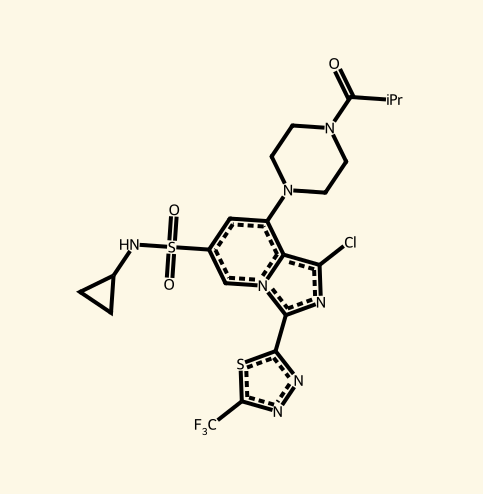 CC(C)C(=O)N1CCN(c2cc(S(=O)(=O)NC3CC3)cn3c(-c4nnc(C(F)(F)F)s4)nc(Cl)c23)CC1